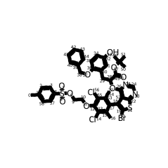 Cc1ccc(S(=O)(=O)OCCOc2c(Cl)c(C)c(-c3c(Br)sc4ncnc(OC(Cc5cc(O)ccc5OCc5ccccc5)C(=O)OC(C)(C)C)c34)c(C)c2Cl)cc1